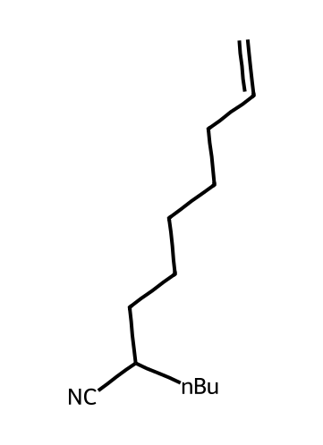 C=CCCCCCC(C#N)CCCC